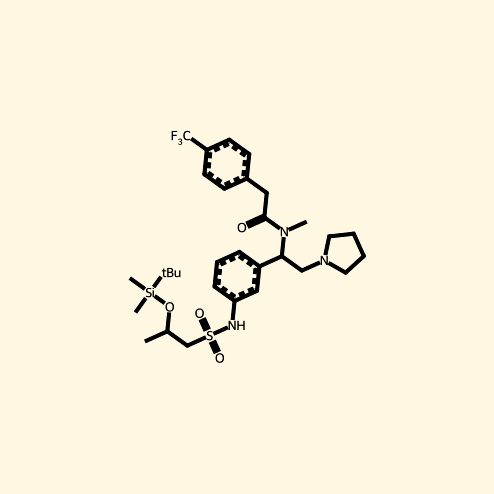 CC(CS(=O)(=O)Nc1cccc(C(CN2CCCC2)N(C)C(=O)Cc2ccc(C(F)(F)F)cc2)c1)O[Si](C)(C)C(C)(C)C